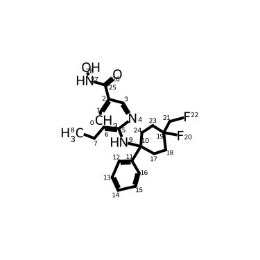 C\C=C(/C=N\C(=C\CC)NC1(c2ccccc2)CCC(F)(CF)CC1)C(=O)NO